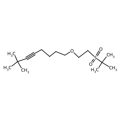 CC(C)(C)C#CCCCCOCCS(=O)(=O)C(C)(C)C